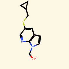 OCn1ccc2cc(SCC3CC3)cnc21